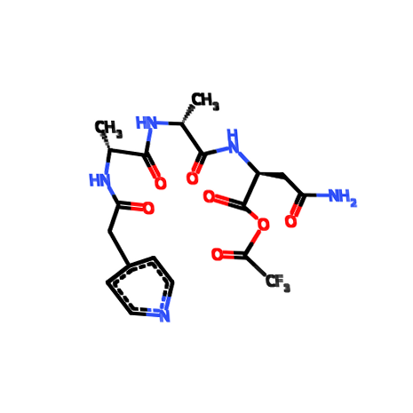 C[C@@H](NC(=O)Cc1ccncc1)C(=O)N[C@H](C)C(=O)N[C@@H](CC(N)=O)C(=O)OC(=O)C(F)(F)F